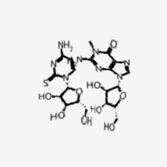 Cn1c(N)nc2c(ncn2[C@@H]2O[C@H](CO)[C@@H](O)[C@H]2O)c1=O.Nc1ccn([C@@H]2O[C@H](CO)[C@@H](O)[C@H]2O)c(=S)n1